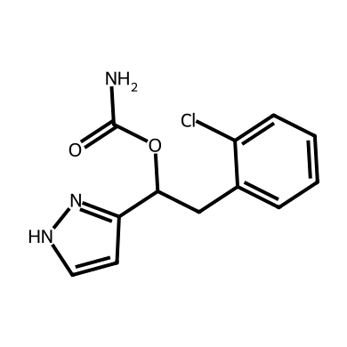 NC(=O)OC(Cc1ccccc1Cl)c1cc[nH]n1